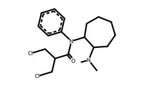 CN(C)C1CCCCCC1N(C(=O)C(CCl)CCl)c1ccccc1